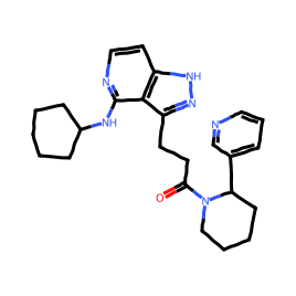 O=C(CCc1n[nH]c2ccnc(NC3CCCCC3)c12)N1CCCCC1c1cccnc1